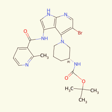 Cc1ncccc1C(=O)Nc1c[nH]c2ncc(Br)c(N3CCC[C@@H](NC(=O)OC(C)(C)C)C3)c12